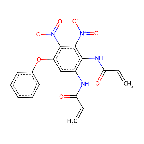 C=CC(=O)Nc1cc(Oc2ccccc2)c([N+](=O)[O-])c([N+](=O)[O-])c1NC(=O)C=C